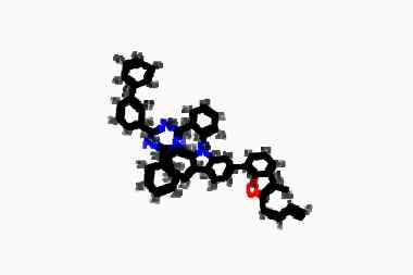 C=C/C=C\c1oc2c(-c3ccc4c5ccccc5n(-c5ccccc5-c5nc(-c6ccccc6)nc(-c6cccc(-c7ccccc7)c6)n5)c4c3)cccc2c1C